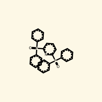 O=P(c1ccccc1)(c1ccccc1)c1cccc(P(=O)(c2ccccc2)c2ccccc2)n1